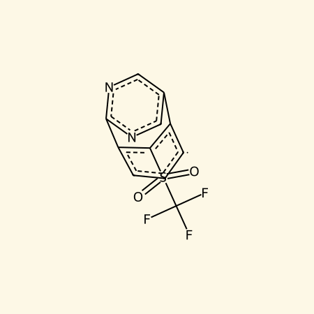 O=S(=O)(c1c2[c]ccc1-c1ncc-2cn1)C(F)(F)F